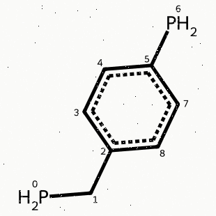 PCc1ccc(P)cc1